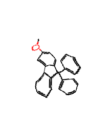 COc1ccc2c(c1)-c1ccccc1C2(c1ccccc1)c1ccccc1